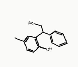 CC(=O)CC(c1ccccc1)c1cc(C)ccc1O